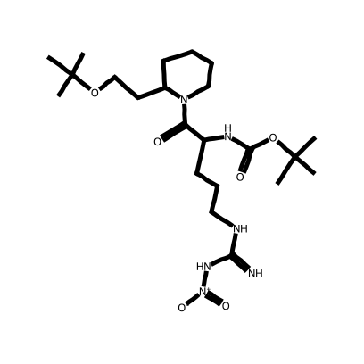 CC(C)(C)OCCC1CCCCN1C(=O)C(CCCNC(=N)N[N+](=O)[O-])NC(=O)OC(C)(C)C